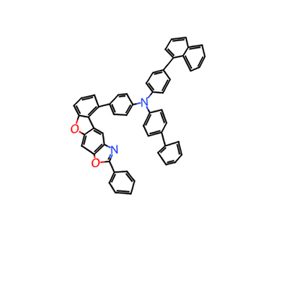 c1ccc(-c2ccc(N(c3ccc(-c4cccc5ccccc45)cc3)c3ccc(-c4cccc5oc6cc7oc(-c8ccccc8)nc7cc6c45)cc3)cc2)cc1